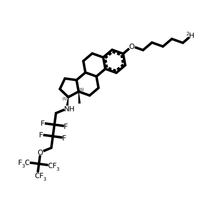 [2H]CCCCCOc1ccc2c(c1)CCC1C2CC[C@@]2(C)C1CC[C@@H]2NCC(F)(F)C(F)(F)COC(C(F)(F)F)(C(F)(F)F)C(F)(F)F